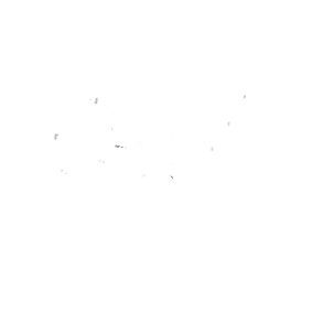 Nc1nc([C@H]2O[C@H](C(O)OP(=O)(O)O)[C@@H](O)[C@@H]2O)nc2nc[nH]c12